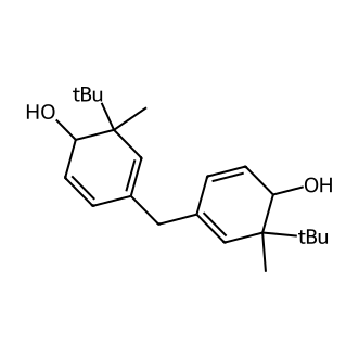 CC(C)(C)C1(C)C=C(CC2=CC(C)(C(C)(C)C)C(O)C=C2)C=CC1O